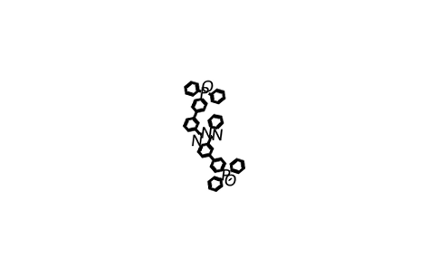 O=P(c1ccccc1)(c1ccccc1)c1ccc(-c2cccc(-c3nc4ccc(-c5ccc(P(=O)(c6ccccc6)c6ccccc6)cc5)cc4c4nc5ccccc5n34)c2)cc1